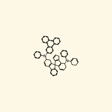 C1=CCCC(N(c2ccccc2)C2CC=CC3=C2C2=C(C=CC2)C32C3=C(C=CC(N(c4ccccc4)c4ccc5c6ccccc6c6ccccc6c5c4)C3)c3ccccc32)=C1